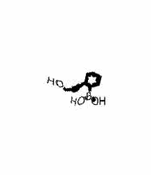 OCC#Cc1ccccc1B(O)O